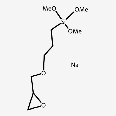 CO[Si](CCCOCC1CO1)(OC)OC.[Na]